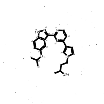 CC(O)CCn1ccc(-c2ccnc(-c3n[nH]c4ccc(OC(C)C)cc34)n2)c1